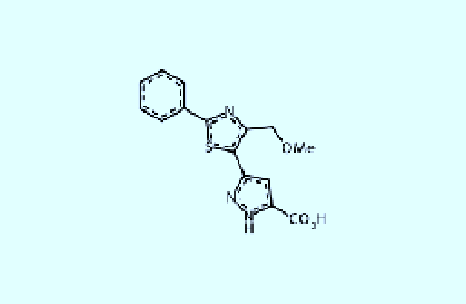 COCc1nc(-c2ccccc2)sc1-c1cc(C(=O)O)[nH]n1